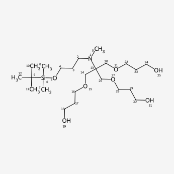 CN(CCCO[Si](C)(C)C(C)(C)C)C(COCCCO)(COCCCO)COCCCO